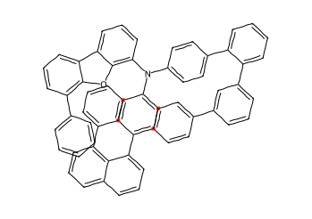 c1ccc(-c2cccc(-c3ccccc3-c3ccc(N(c4ccc(-c5cccc6cccc(-c7ccccc7)c56)cc4)c4cccc5c4oc4c(-c6ccccc6)cccc45)cc3)c2)cc1